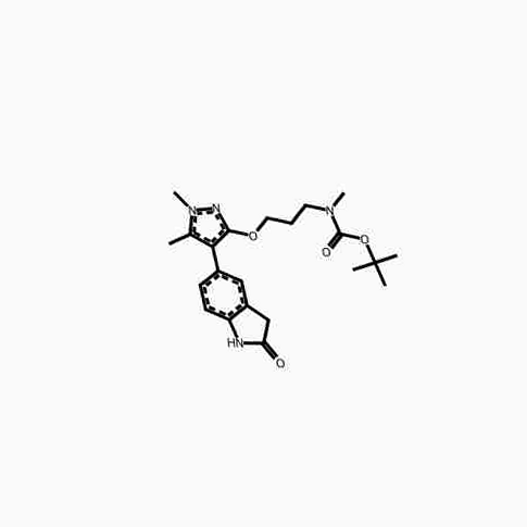 Cc1c(-c2ccc3c(c2)CC(=O)N3)c(OCCCN(C)C(=O)OC(C)(C)C)nn1C